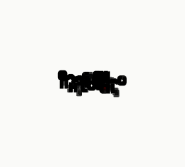 CCC(CC)(O[Si](C)(C)C(C)(CC)CCCC=O)[Si](C)(C)CCCC=O